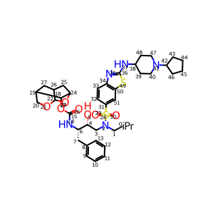 CC(C)CN(C[C@@H](O)[C@H](Cc1ccccc1)NC(=O)OC1C2COC3OC1CC3C2)S(=O)(=O)c1ccc2nc(NC3CCN(C4CCCC4)CC3)sc2c1